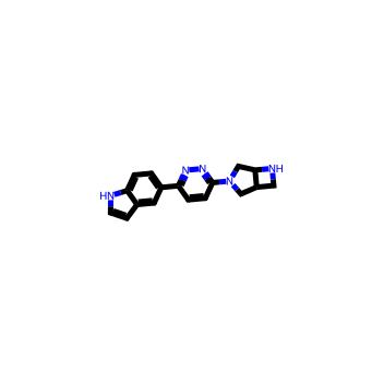 c1cc2cc(-c3ccc(N4CC5CNC5C4)nn3)ccc2[nH]1